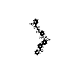 COc1ccc(-c2cccc(C(=O)N3CCCCC3)c2)cc1[S+]([O-])Nc1cccc(NCCNC(=O)c2cccnc2OC)c1